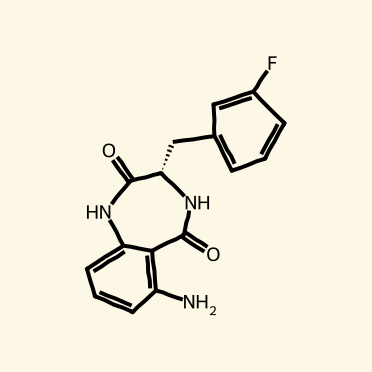 Nc1cccc2c1C(=O)N[C@@H](Cc1cccc(F)c1)C(=O)N2